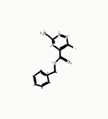 Nc1nnc(I)c(C(=O)OCc2ccccc2)n1